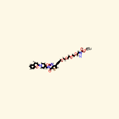 C[C@H](CC(=O)N1CCC(O)(Cn2cnc3c(C#CCOCCOCCOCCOCCNC(=O)OC(C)(C)C)csc3c2=O)CC1)c1ccccc1